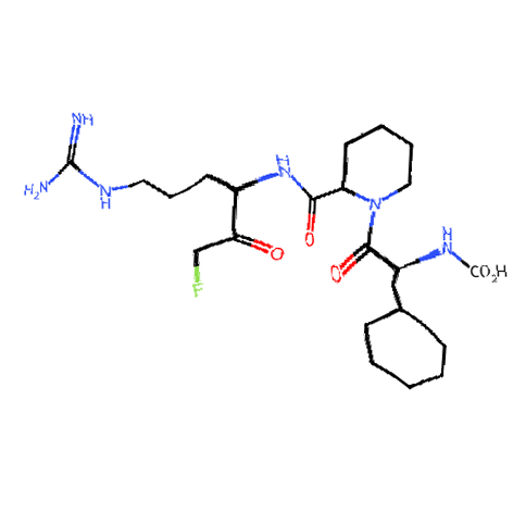 N=C(N)NCCCC(NC(=O)C1CCCCN1C(=O)[C@@H](NC(=O)O)C1CCCCC1)C(=O)CF